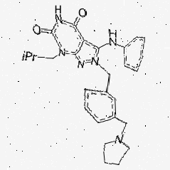 CC(C)Cn1c(=O)[nH]c(=O)c2c(Nc3ccccc3)n(Cc3cccc(CN4CCCC4)c3)nc21